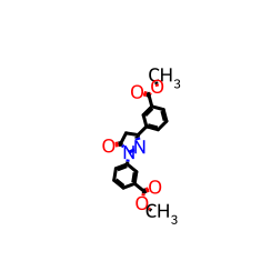 COC(=O)c1cccc(C2=NN(c3cccc(C(=O)OC)c3)C(=O)C2)c1